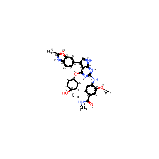 CNC(=O)c1ccc(Nc2nc(O[C@H]3CC[C@](C)(O)CC3)c3c(-c4ccc5nc(C)oc5c4)c[nH]c3n2)c(OC)c1